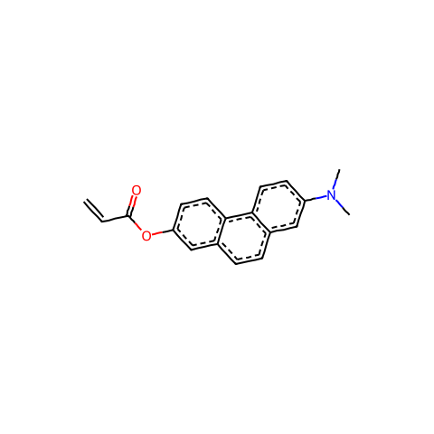 C=CC(=O)Oc1ccc2c(ccc3cc(N(C)C)ccc32)c1